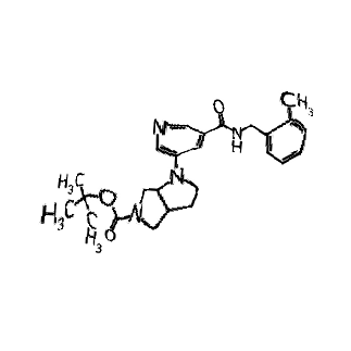 Cc1ccccc1CNC(=O)c1cncc(N2CCC3CN(C(=O)OC(C)(C)C)CC32)c1